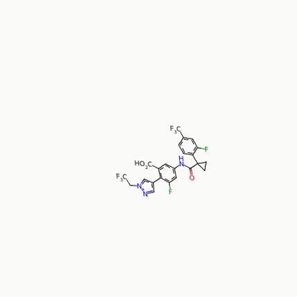 O=C(O)c1cc(NC(=O)C2(c3ccc(C(F)(F)F)cc3F)CC2)cc(F)c1-c1cnn(CC(F)(F)F)c1